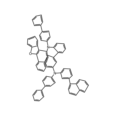 c1ccc(-c2ccc(N(c3cccc(-c4ccccc4N(c4ccc(-c5ccccc5)cc4)c4cc5ccccc5c5oc6ccccc6c45)c3)c3cccc(-c4cccc5ccccc45)c3)cc2)cc1